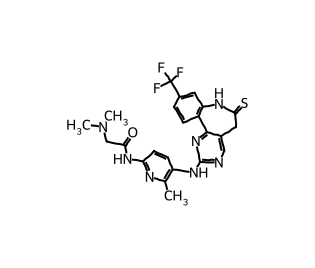 Cc1nc(NC(=O)CN(C)C)ccc1Nc1ncc2c(n1)-c1ccc(C(F)(F)F)cc1NC(=S)C2